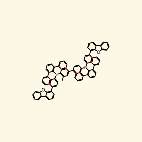 Cc1cc(-c2ccc(N(c3ccc(-c4cccc5c4oc4ccccc45)cc3)c3c(-c4ccccc4)cccc3-c3ccccc3)c(C)c2)ccc1N(c1ccc(-c2cccc3c2oc2ccccc23)cc1)c1c(-c2ccccc2)cccc1-c1ccccc1